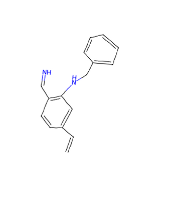 C=Cc1ccc(C=N)c(NCc2ccccc2)c1